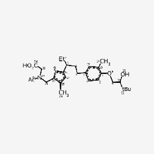 CCC(CCc1ccc(OCC(O)C(C)(C)C)c(C)c1)c1cc(C)c(CN(CC(=O)O)C(C)=O)s1